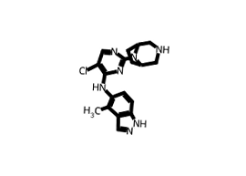 Cc1c(Nc2nc(N3C4CCC3CNC4)ncc2Cl)ccc2[nH]ncc12